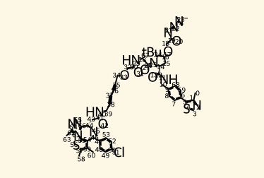 Cc1ncsc1-c1ccc(CNC(=O)[C@@H]2C[C@@H](OCC(=O)N=[N+]=[N-])CN2C(=O)[C@@H](NC(=O)COCC#CC#CCNC(=O)C[C@@H]2N=C(c3ccc(Cl)cc3)c3c(sc(C)c3C)-n3c(C)nnc32)C(C)(C)C)cc1